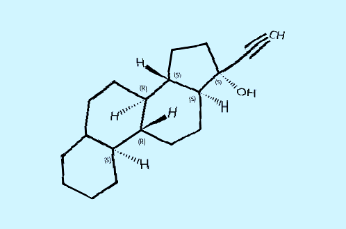 C#C[C@]1(O)CC[C@H]2[C@@H]3CCC4CCCC[C@@H]4[C@H]3CC[C@@H]21